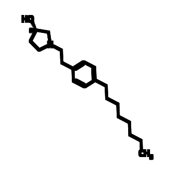 CCCCCCCCc1ccc(CCN2CC[C@H](O)C2)cc1